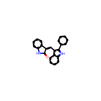 O=C1Nc2ccccc2/C1=C/c1c(-c2ccccc2)[nH]c2ccccc12